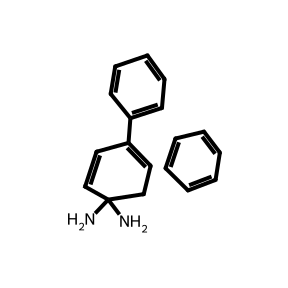 NC1(N)C=CC(c2ccccc2)=CC1.c1ccccc1